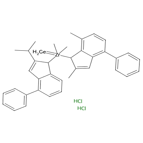 CC1=Cc2c(-c3ccccc3)ccc(C)c2[CH]1[Zr]([CH3])([CH3])(=[GeH2])[CH]1C(C(C)C)=Cc2c(-c3ccccc3)cccc21.Cl.Cl